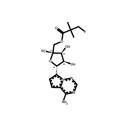 CC(C)(CF)C(=O)OC[C@@]1(C#N)O[C@@H](c2ccc3c(N)ncnn23)[C@H](O)[C@@H]1O